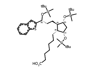 CC(C)(C)[Si](C)(C)O[C@H]1C[C@@H](O[Si](C)(C)C(C)(C)C)[C@H](CC[C@@H](O[Si](C)(C)C(C)(C)C)c2cc3ccccc3s2)[C@H]1CCCCCCC(=O)O